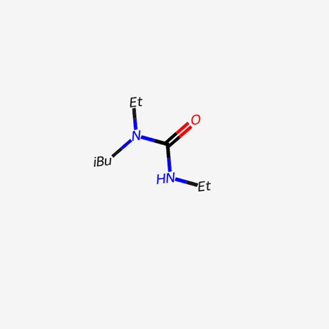 CCNC(=O)N(CC)C(C)CC